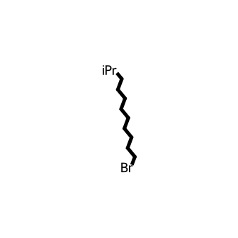 CC(C)CCCCCCCCCBr